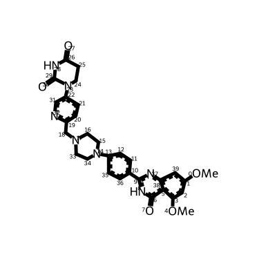 COc1cc(OC)c2c(=O)[nH]c(-c3ccc(N4CCN(Cc5ccc(N6CCC(=O)NC6=O)cn5)CC4)cc3)nc2c1